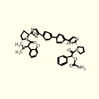 CN(C)C(C(=O)N1CCC[C@H]1c1ncc(-c2ccc(-c3ccc(-c4cnc([C@@H]5CCCN5C(=O)[C@H](OC(N)=O)c5ccccc5)[nH]4)cc3)cc2)[nH]1)c1ccccc1Cl